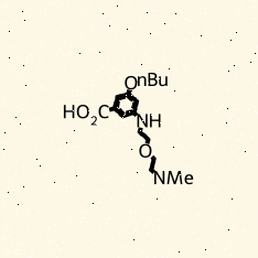 CCCCOc1cc(NCCOCCNC)cc(C(=O)O)c1